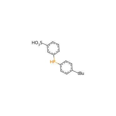 CC(C)(C)c1ccc(Pc2cccc(S(=O)(=O)O)c2)cc1